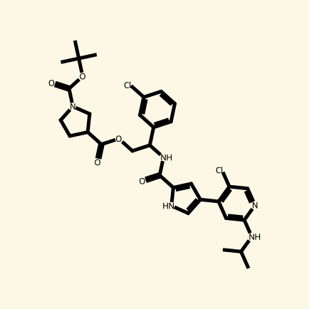 CC(C)Nc1cc(-c2c[nH]c(C(=O)NC(COC(=O)C3CCN(C(=O)OC(C)(C)C)C3)c3cccc(Cl)c3)c2)c(Cl)cn1